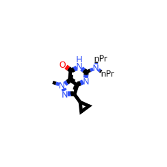 CCCN(CCC)c1nc2c(C3CC3)nn(C)c2c(=O)[nH]1